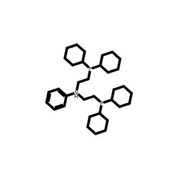 c1ccc([SiH](CCP(C2CCCCC2)C2CCCCC2)CCP(C2CCCCC2)C2CCCCC2)cc1